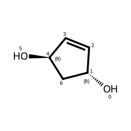 O[C@H]1C=C[C@H](O)C1